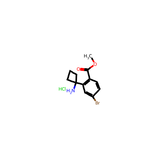 COC(=O)c1ccc(Br)cc1C1(N)CCC1.Cl